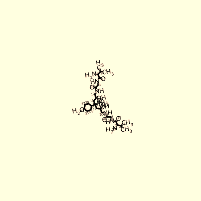 CC(C)[C@H](N)C(=O)NCC(=O)NC[C@H](O)CC(C[C@@H](O)CNC(=O)CNC(=O)[C@@H](N)C(C)C)(C1CCCCC1)[PH](=O)O.O